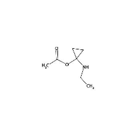 CCNC1(OC(C)=O)CC1